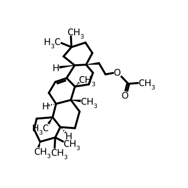 CC(=O)OCC[C@]12CCC(C)(C)C[C@H]1C1=CC[C@@H]3[C@@]4(C)CC[C@H](C)C(C)(C)[C@@H]4CC[C@@]3(C)[C@]1(C)CC2